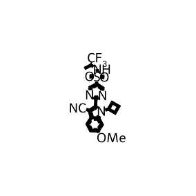 COc1ccc2c(C#N)c(-c3ncc(S(=O)(=O)N[C@H](C)C(F)(F)F)cn3)n(C3CCC3)c2c1